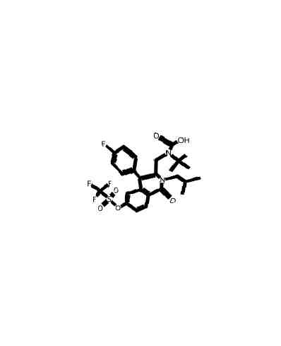 CC(C)Cn1c(CN(C(=O)O)C(C)(C)C)c(-c2ccc(F)cc2)c2cc(OS(=O)(=O)C(F)(F)F)ccc2c1=O